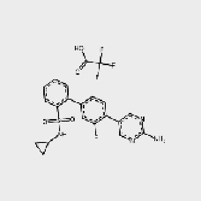 Nc1ncc(-c2ccc(-c3ccccc3S(=O)(=O)NC3CC3)cc2F)cn1.O=C(O)C(F)(F)F